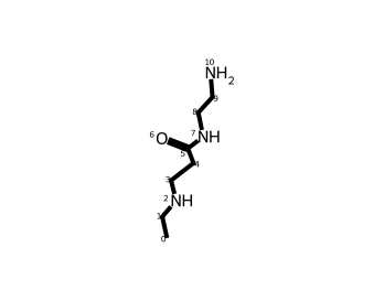 CCNCCC(=O)NCCN